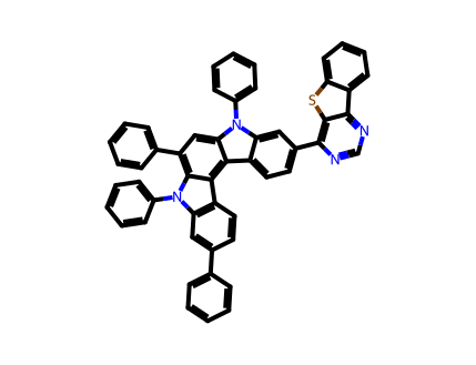 c1ccc(-c2ccc3c4c5c6ccc(-c7ncnc8c7sc7ccccc78)cc6n(-c6ccccc6)c5cc(-c5ccccc5)c4n(-c4ccccc4)c3c2)cc1